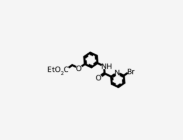 CCOC(=O)COc1cccc(NC(=O)c2cccc(Br)n2)c1